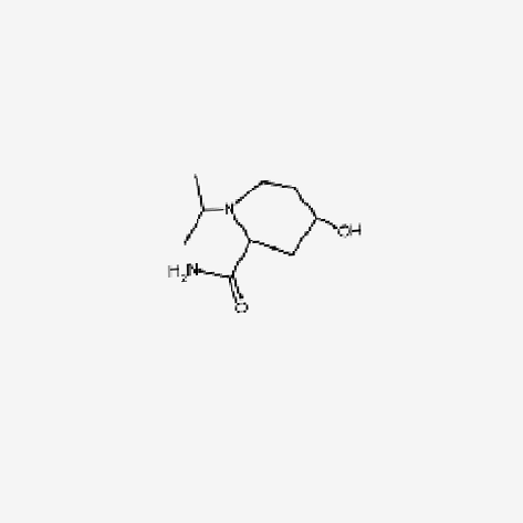 CC(C)N1CCC(O)CC1C(N)=O